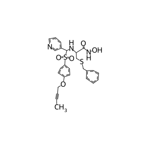 CC#CCOc1ccc(S(=O)(=O)C(NC(CSCc2ccccc2)C(=O)NO)c2cccnc2)cc1